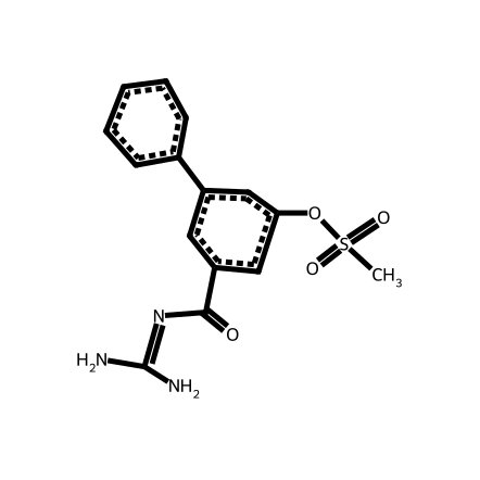 CS(=O)(=O)Oc1cc(C(=O)N=C(N)N)cc(-c2ccccc2)c1